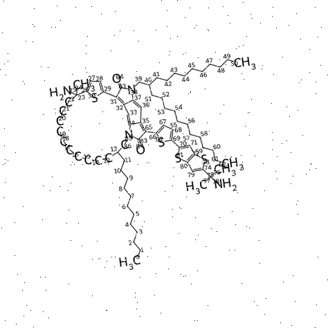 CCCCCCCCCCCCC1CCCCCCCCCCC(C)(N)c2ccc(s2)C2=c3cc4c(cc3N(CC(CCCCCCCCCC)CCCCCCCCCCCC)C2=O)=C(c2ccc(-c3cc5sc(C(C)(C)N)cc5s3)s2)C(=O)N4C1